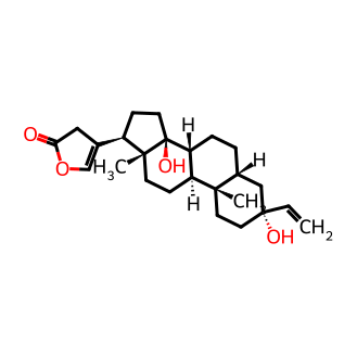 C=C[C@@]1(O)CC[C@@]2(C)[C@H](CC[C@@H]3[C@@H]2CC[C@]2(C)[C@@H](C4=COC(=O)C4)CC[C@]32O)C1